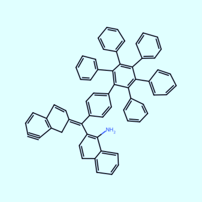 Nc1c(/C(=C2/C=Cc3ccc#cc3C2)c2ccc(-c3c(-c4ccccc4)c(-c4ccccc4)c(-c4ccccc4)c(-c4ccccc4)c3-c3ccccc3)cc2)ccc2ccccc12